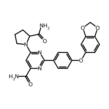 NC(=O)c1cc(N2CCCC2C(N)=O)nc(-c2ccc(Oc3ccc4c(c3)OCO4)cc2)n1